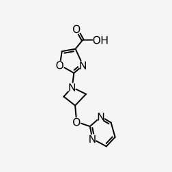 O=C(O)c1coc(N2CC(Oc3ncccn3)C2)n1